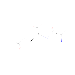 CC(N)C(=O)N[C@@H](CCC(=O)O)C(=O)O